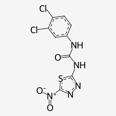 O=C(Nc1ccc(Cl)c(Cl)c1)Nc1nnc([N+](=O)[O-])s1